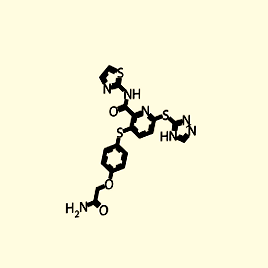 NC(=O)COc1ccc(Sc2ccc(Sc3nnc[nH]3)nc2C(=O)Nc2nccs2)cc1